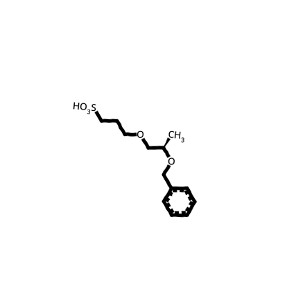 C[C@H](COCCCS(=O)(=O)O)OCc1ccccc1